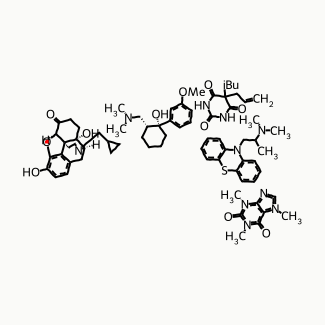 C=CCC1(C(C)CC)C(=O)NC(=O)NC1=O.CC(CN1c2ccccc2Sc2ccccc21)N(C)C.COc1cccc([C@@]2(O)CCCC[C@@H]2CN(C)C)c1.Cn1c(=O)c2c(ncn2C)n(C)c1=O.O=C1CC[C@@]2(O)[C@H]3Cc4ccc(O)c5c4[C@@]2(CCN3CC2CC2)[C@H]1O5